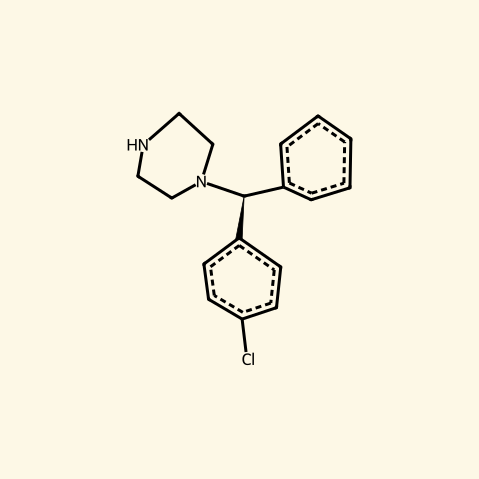 Clc1ccc([C@H](c2ccccc2)N2CCNCC2)cc1